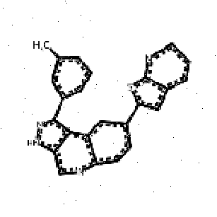 Cc1cccc(-c2n[nH]c3cnc4ccc(-c5cc6cccnc6s5)cc4c23)c1